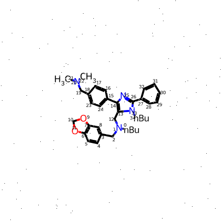 CCCCN(Cc1ccc2c(c1)OCO2)Cc1c(-c2ccc(CN(C)C)cc2)nc(-c2ccccc2)n1CCCC